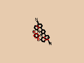 N#Cc1ccc(-c2ccc(-c3ccc(C#N)cc3)c(N3c4cc(F)ccc4Oc4ccc(F)cc43)c2N2c3cc(F)ccc3Oc3ccc(F)cc32)cc1